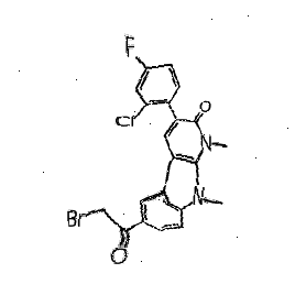 Cn1c(=O)c(-c2ccc(F)cc2Cl)cc2c3cc(C(=O)CBr)ccc3n(C)c21